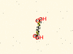 O=C(O)CSCCCCCSCC(=O)O